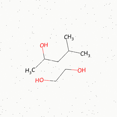 CC(C)CC(C)O.OCCO